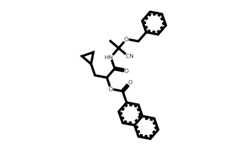 CC(C#N)(NC(=O)C(CC1CC1)OC(=O)c1ccc2ccccc2c1)OCc1ccccc1